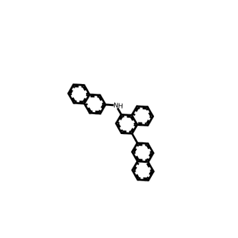 c1ccc2cc(Nc3ccc(-c4ccc5ccccc5c4)c4ccccc34)ccc2c1